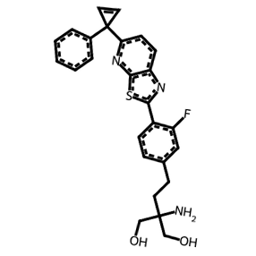 NC(CO)(CO)CCc1ccc(-c2nc3ccc(C4(c5ccccc5)C=C4)nc3s2)c(F)c1